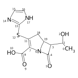 CC(O)C1C(=O)N2C(C(=O)O)=C(Sc3ncc[nH]3)CC12